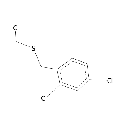 ClCSCc1ccc(Cl)cc1Cl